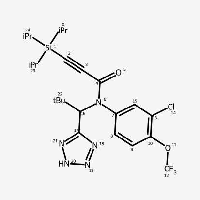 CC(C)[Si](C#CC(=O)N(c1ccc(OC(F)(F)F)c(Cl)c1)C(c1nn[nH]n1)C(C)(C)C)(C(C)C)C(C)C